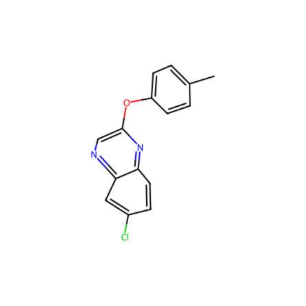 Cc1ccc(Oc2cnc3cc(Cl)ccc3n2)cc1